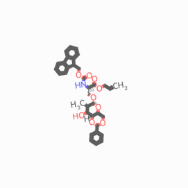 C=CCOC(=O)[C@H](CO[C@@H]1OC2COC(c3ccccc3)O[C@H]2C(O)C1C)NC(=O)OCC1c2ccccc2-c2ccccc21